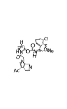 COC[C@@H](NC(=O)O[C@H]1C[C@H]2C[C@H]2N1C(=O)Cn1cc(C(C)=O)c2ccncc21)c1cccc(Cl)c1F